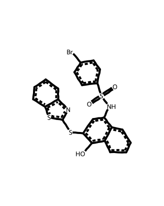 O=S(=O)(Nc1cc(Sc2nc3ccccc3s2)c(O)c2ccccc12)c1ccc(Br)cc1